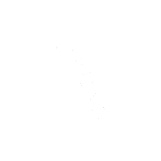 O=C(O)[C@@H]1CCCC[C@@H]1NS(=O)(=O)c1ccc(N=Nc2ccccc2)cc1